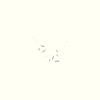 Cc1cc(CN2Cc3c(ccnc3C(=O)NCCCO)C2=O)ncc1OCCC(F)(F)F